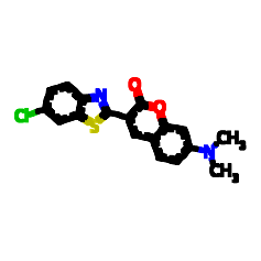 CN(C)c1ccc2cc(-c3nc4ccc(Cl)cc4s3)c(=O)oc2c1